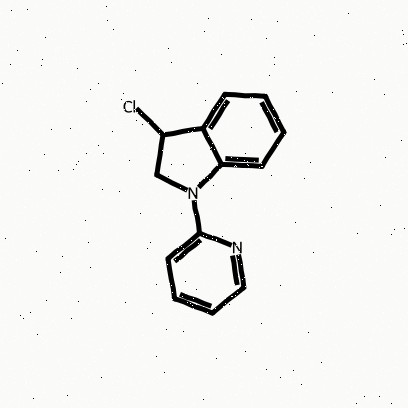 ClC1CN(c2ccccn2)c2ccccc21